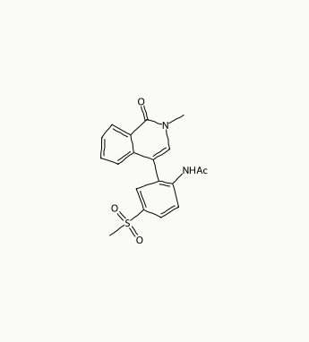 CC(=O)Nc1ccc(S(C)(=O)=O)cc1-c1cn(C)c(=O)c2ccccc12